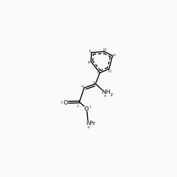 CCCOC(=O)C=C(N)c1ccccc1